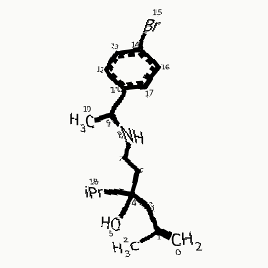 C=C(C)CC(O)(CCNC(C)c1ccc(Br)cc1)C(C)C